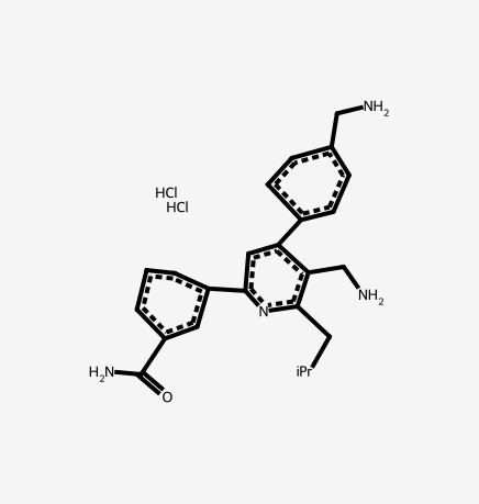 CC(C)Cc1nc(-c2cccc(C(N)=O)c2)cc(-c2ccc(CN)cc2)c1CN.Cl.Cl